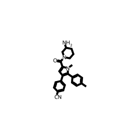 Cc1ccc(-c2c(-c3ccc(C#N)cc3)cc(C(=O)N3CCCC(N)C3)n2C)cc1